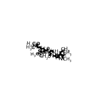 Cc1nc2cc(Cn3cccc(NC(=O)C(CCC=CC(=O)N(C)C)OC(=O)N(C)C)c3=O)[nH]c2c(CC(C)C)c1F